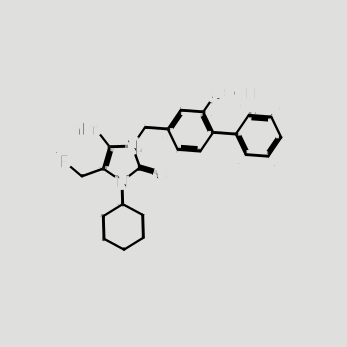 CCCc1c(CF)n(C2CCCCC2)c(=O)n1Cc1ccc(-c2ccccc2)c(C(=O)O)c1